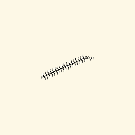 O=S(=O)(O)C(I)(I)C(I)(I)C(I)(I)C(I)(I)C(I)(I)C(I)(I)C(I)(I)C(I)(I)C(I)(I)C(I)(I)C(I)(I)C(I)(I)C(I)(I)C(I)(I)C(I)(I)C(I)(I)C(I)(I)C(I)(I)I